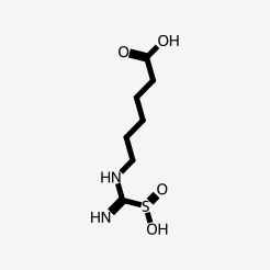 N=C(NCCCCCC(=O)O)S(=O)O